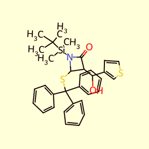 CC(C)(C)[Si](C)(C)N1C(=O)C(C(O)c2ccsc2)C1SC(c1ccccc1)(c1ccccc1)c1ccccc1